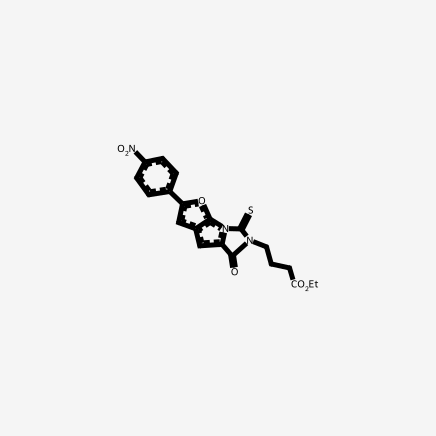 CCOC(=O)CCCN1C(=O)c2cc3cc(-c4ccc([N+](=O)[O-])cc4)oc3n2C1=S